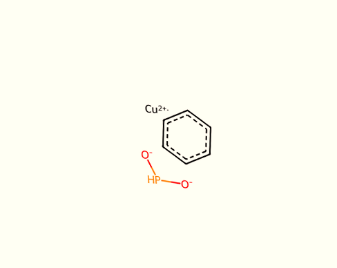 [Cu+2].[O-]P[O-].c1ccccc1